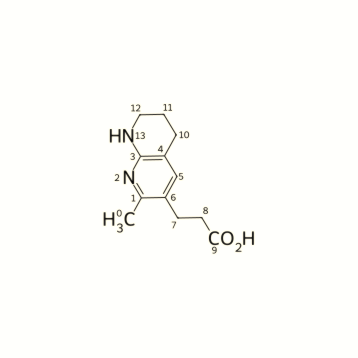 Cc1nc2c(cc1CCC(=O)O)CCCN2